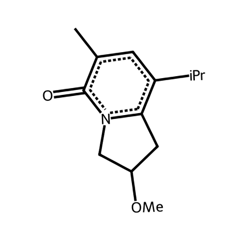 COC1Cc2c(C(C)C)cc(C)c(=O)n2C1